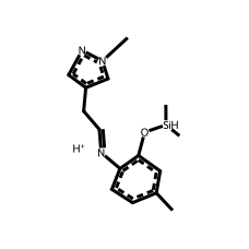 Cc1ccc(N=CCc2cnn(C)c2)c(O[SiH](C)C)c1.[H+]